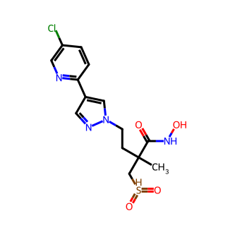 CC(CCn1cc(-c2ccc(Cl)cn2)cn1)(C[SH](=O)=O)C(=O)NO